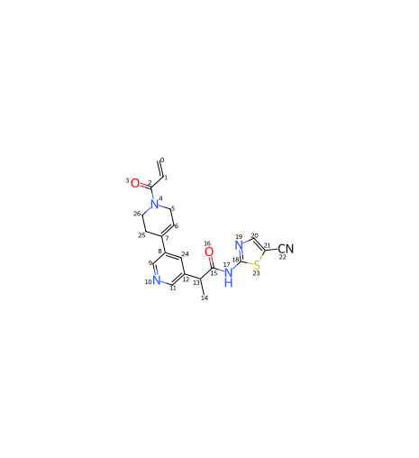 C=CC(=O)N1CC=C(c2cncc(C(C)C(=O)Nc3ncc(C#N)s3)c2)CC1